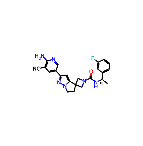 C[C@@H](NC(=O)N1CC2(CCn3nc(-c4cnc(N)c(C#N)c4)cc32)C1)c1cccc(F)c1